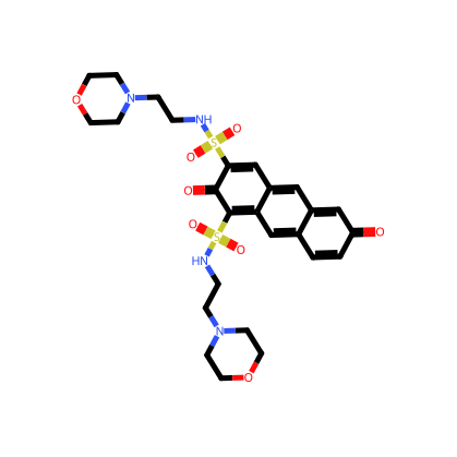 O=C1C=Cc2cc3c(cc2=C1)C=C(S(=O)(=O)NCCN1CCOCC1)C(=O)C=3S(=O)(=O)NCCN1CCOCC1